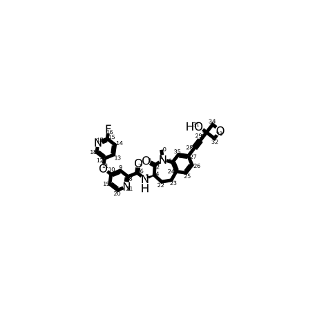 CN1C(=O)[C@H](NC(=O)c2cc(Oc3ccc(F)nc3)ccn2)CCc2ccc(C#CC3(O)COC3)cc21